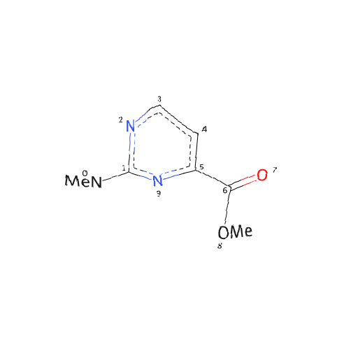 CNc1nccc(C(=O)OC)n1